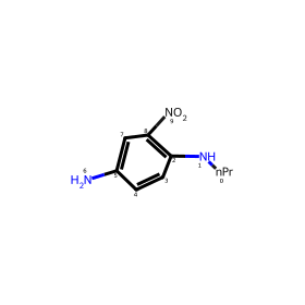 CCCNc1ccc(N)cc1[N+](=O)[O-]